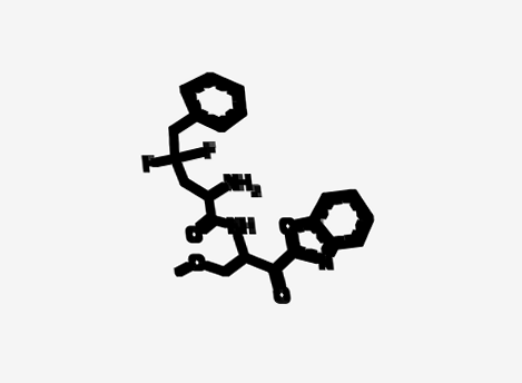 COCC(NC(=O)C(N)CC(F)(F)Cc1ccccc1)C(=O)c1nc2ccccc2o1